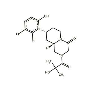 CC(C)(O)C(=O)N1CC(=O)N2CC[C@@H](c3c(O)ccc(Cl)c3Cl)C[C@H]2C1